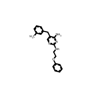 Cc1cccc(Cc2cnc(NCCOc3ccccc3)nc2N)c1